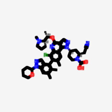 Cc1cc2c(cnn2C2CCCCO2)c(-c2c(C)cc3c(nc(O[C@@H](C)[C@@H]4CCCN4C)c4cnn([C@H]5CCN(C(=O)O)[C@H](CC#N)C5)c43)c2F)c1C